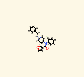 O=C(c1ccoc1)N(c1ccccc1F)C1CCN(CCc2ccccc2)CC1